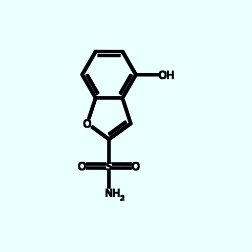 NS(=O)(=O)c1cc2c(O)cccc2o1